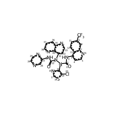 O=C(Nc1ccnc2cc(C(F)(F)F)ccc12)N(c1ncsc1Cl)N(C(=O)Nc1cnccn1)c1ccnc2cccnc12